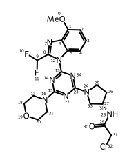 COc1cccc2c1nc(C(F)F)n2-c1nc(N2CCOCC2)nc(N2CC[C@H](NC(=O)CCl)C2)n1